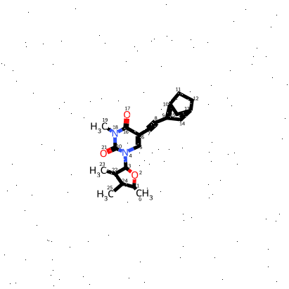 CC1OC(n2cc(C#CC3=C4CCC(=C3)C4)c(=O)n(C)c2=O)C(C)C1C